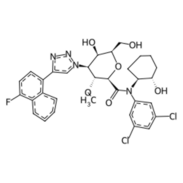 CO[C@@H]1[C@@H](n2cc(-c3ccc(F)c4ccccc34)nn2)[C@@H](O)[C@@H](CO)O[C@H]1C(=O)N(c1cc(Cl)cc(Cl)c1)[C@H]1CCCC[C@@H]1O